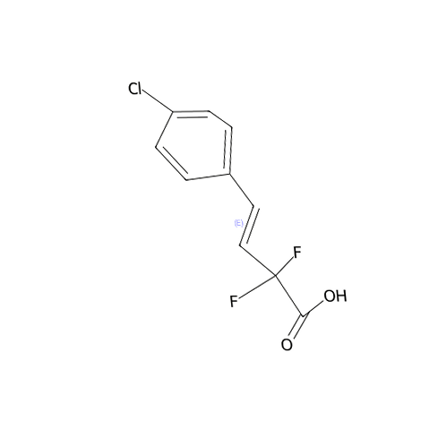 O=C(O)C(F)(F)/C=C/c1ccc(Cl)cc1